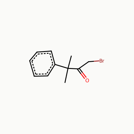 CC(C)(C(=O)CBr)c1ccccc1